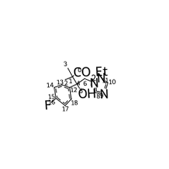 CCOC(=O)C(C)(C)C(O)(Cn1cncn1)c1ccc(F)cc1